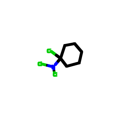 ClN(Cl)C1(Cl)CCCCC1